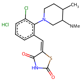 CNC1CN(c2c(Cl)cccc2C=C2SC(=O)NC2=O)CCC1C.Cl